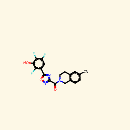 N#Cc1ccc2c(c1)CCN(C(=O)c1noc(-c3cc(F)c(F)c(O)c3F)n1)C2